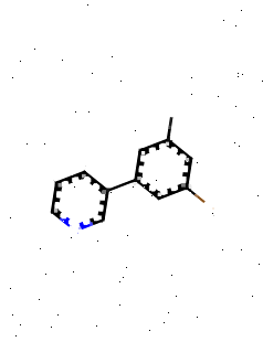 CC(C)(C)c1cc(Br)cc(-c2cccnc2)c1